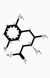 CC(=O)C[C@@H](C)C(C)Cc1cc(Br)ccc1C